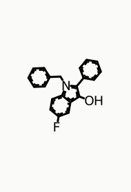 Oc1c(-c2ccccc2)n(Cc2ccccc2)c2ccc(F)cc12